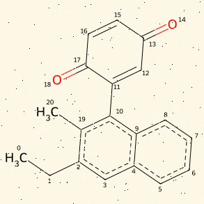 CCc1cc2ccccc2c(C2=CC(=O)C=CC2=O)c1C